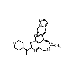 COc1nc(NC2CCOCC2)nc2c1C(c1ccn3nccc3c1)=C[C@@H](C)NC2